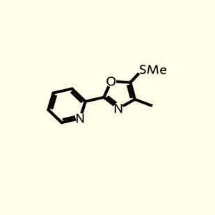 CSc1oc(-c2ccccn2)nc1C